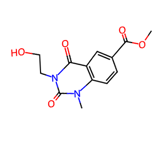 COC(=O)c1ccc2c(c1)c(=O)n(CCO)c(=O)n2C